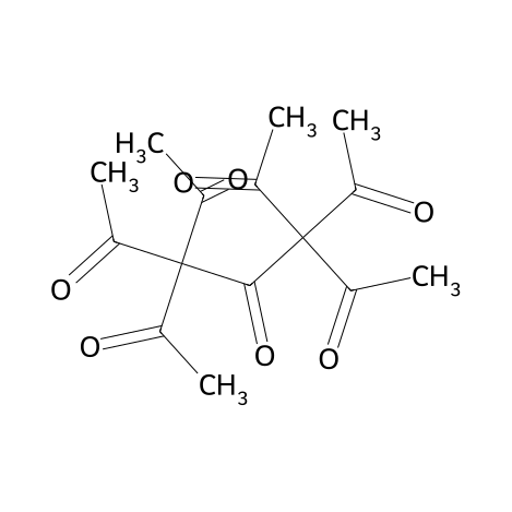 CC(=O)C(C(C)=O)(C(C)=O)C(=O)C(C(C)=O)(C(C)=O)C(C)=O